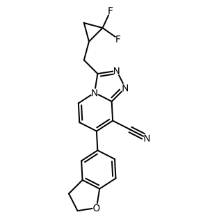 N#Cc1c(-c2ccc3c(c2)CCO3)ccn2c(CC3CC3(F)F)nnc12